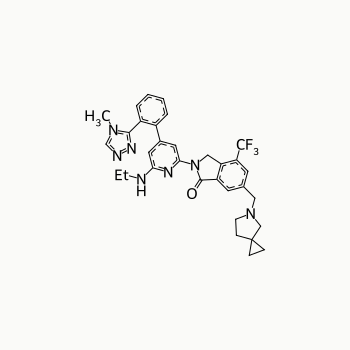 CCNc1cc(-c2ccccc2-c2nncn2C)cc(N2Cc3c(cc(CN4CCC5(CC5)C4)cc3C(F)(F)F)C2=O)n1